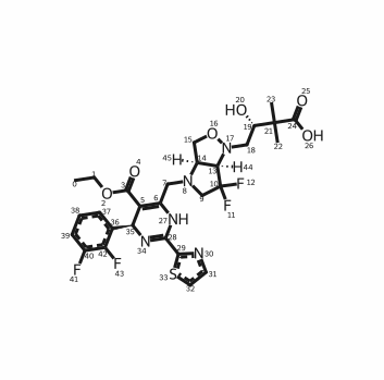 CCOC(=O)C1=C(CN2CC(F)(F)[C@H]3[C@@H]2CON3C[C@H](O)C(C)(C)C(=O)O)NC(c2nccs2)=N[C@H]1c1cccc(F)c1F